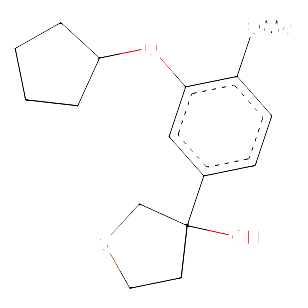 COc1ccc(C2(O)CCSC2)cc1OC1CCCC1